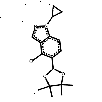 CC1(C)OB(c2ccc3c(cnn3C3CC3)c2Cl)OC1(C)C